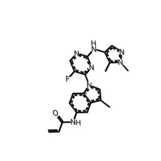 C=CC(=O)Nc1ccc2c(c1)c(C)cn2-c1nc(Nc2cnn(C)c2C)ncc1F